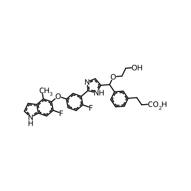 Cc1c(Oc2ccc(F)c(-c3ncc(C(OCCO)c4cccc(CCC(=O)O)c4)[nH]3)c2)c(F)cc2[nH]ccc12